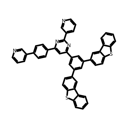 c1cncc(-c2ccc(-c3cc(-c4cc(-c5ccc6sc7ccccc7c6c5)cc(-c5ccc6sc7ccccc7c6c5)c4)nc(-c4cccnc4)n3)cc2)c1